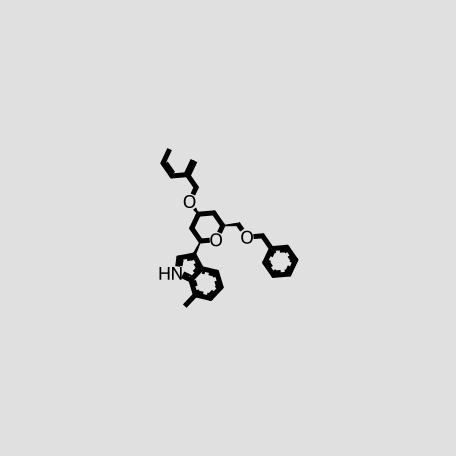 C=C(/C=C\C)CO[C@H]1C[C@@H](COCc2ccccc2)O[C@@H](c2c[nH]c3c(C)cccc23)C1